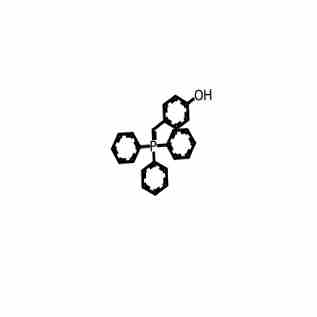 Oc1ccc(C=P(c2ccccc2)(c2ccccc2)c2ccccc2)cc1